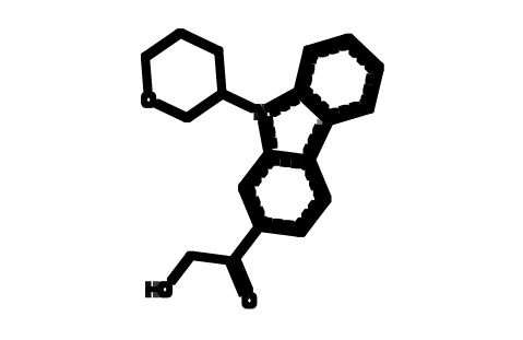 O=C(CO)c1ccc2c3ccccc3n(C3CCCOC3)c2c1